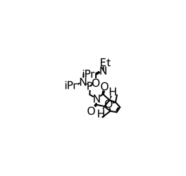 CC/N=C/OP(CN1C(=O)[C@@H]2[C@H](C1=O)C1(C)C=CC2(C)O1)N(C(C)C)C(C)C